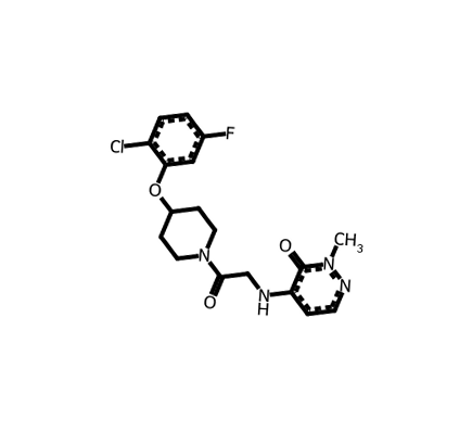 Cn1nccc(NCC(=O)N2CCC(Oc3cc(F)ccc3Cl)CC2)c1=O